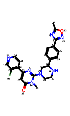 Cc1nc(-c2ccc(C3CN(c4nc(-c5ccncc5F)cc(=O)n4C)CCN3)cc2)no1